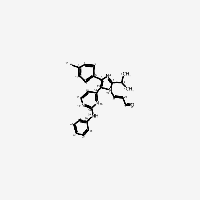 CC(C)c1nc(-c2ccc(F)cc2)c(-c2ccnc(Nc3ccccc3)n2)n1C=CC=O